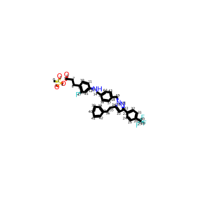 CS(=O)(=O)OC(=O)CCc1ccc(NCc2ccc(Cn3nc(-c4ccc(C(F)(F)F)cc4)cc3CCc3ccccc3)cc2)cc1F